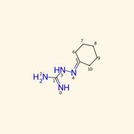 N=C(N)NN=C1CCCCC1